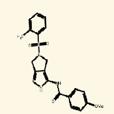 COc1ccc(C(=O)Nc2[nH]nc3c2CN(S(=O)(=O)c2ccccc2C)C3)cc1